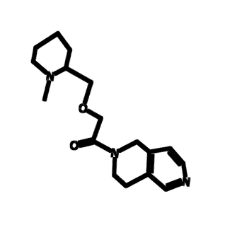 CN1CCCCC1COCC(=O)N1CCc2cnccc2C1